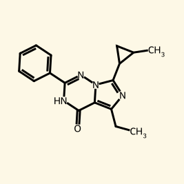 CCc1nc(C2CC2C)n2nc(-c3ccccc3)[nH]c(=O)c12